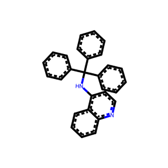 c1ccc(C(Nc2ccnc3ccccc23)(c2ccccc2)c2ccccc2)cc1